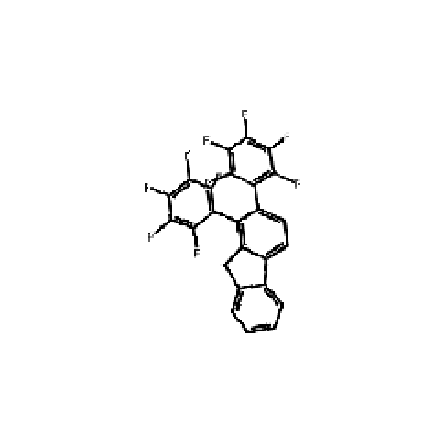 Fc1c(F)c(F)c(-c2ccc3c(c2-c2c(F)c(F)c(F)c(F)c2F)[CH]c2ccccc2-3)c(F)c1F